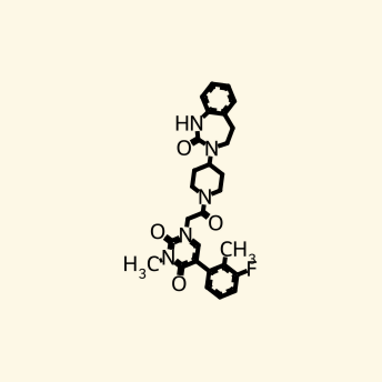 Cc1c(F)cccc1-c1cn(CC(=O)N2CCC(N3CCc4ccccc4NC3=O)CC2)c(=O)n(C)c1=O